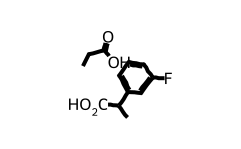 CC(C(=O)O)c1cccc(F)c1.CCC(=O)O